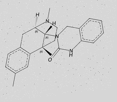 Cc1ccc2c(c1)[C@@]1(C)CCN(C)[C@H](C2)[C@@H]1N1Cc2ccccc2NC1=O